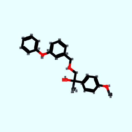 CCOc1ccc(C(O)(COCc2cccc(Oc3ccccc3)c2)C(F)(F)F)cc1